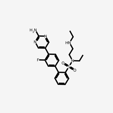 CCNCCN(CC)S(=O)(=O)c1ccccc1-c1ccc(-c2cnc(N)nc2)c(F)c1